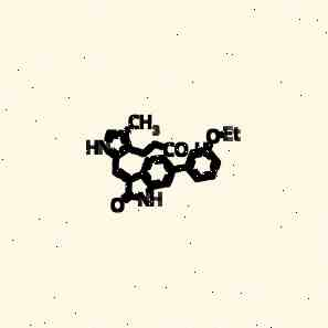 CCOc1cccc(-c2ccc3c(c2)NC(=O)C3=Cc2[nH]cc(C)c2CCC(=O)O)c1